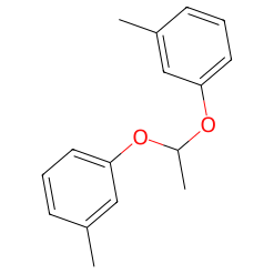 Cc1cccc(OC(C)Oc2cccc(C)c2)c1